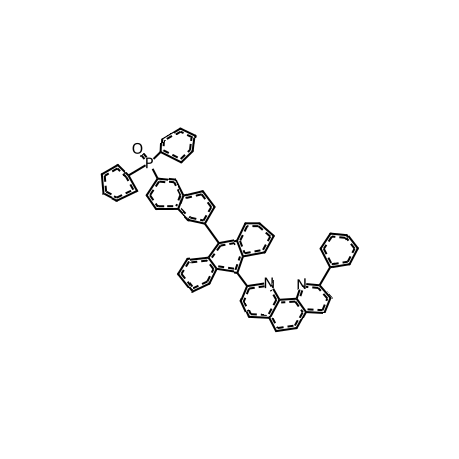 O=P(c1ccccc1)(c1ccccc1)c1ccc2cc(-c3c4ccccc4c(-c4ccc5ccc6ccc(-c7ccccc7)nc6c5n4)c4ccccc34)ccc2c1